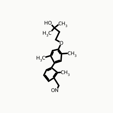 Cc1cc(-c2cccc(CN=O)c2C)c(C)cc1OCCC(C)(C)O